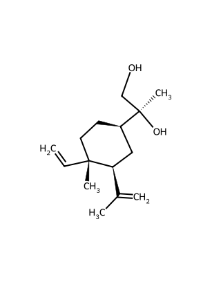 C=C[C@]1(C)CC[C@@H]([C@](C)(O)CO)C[C@H]1C(=C)C